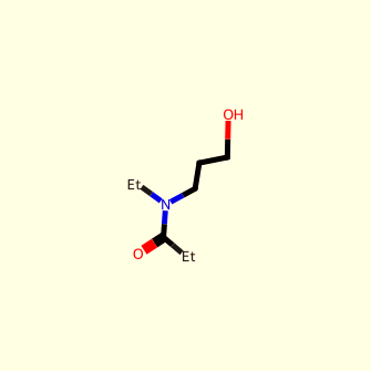 CCC(=O)N(CC)CCCO